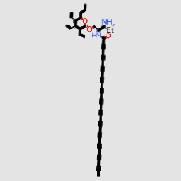 C=CCC1O[C@H](OC[C@H](NC(=O)C#CC#CC#CC#CC#CC#CC#CC#CC#CC#CC#CC#CC)[C@H](N)CC)C(C=C)[C@@H](C=C)[C@H]1C=C